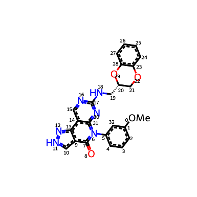 COc1cccc(-n2c(=O)c3c[nH]nc3c3cnc(NC[C@H]4COc5ccccc5O4)nc32)c1